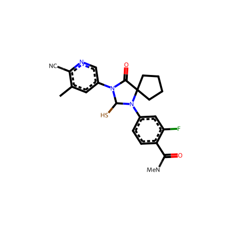 CNC(=O)c1ccc(N2C(S)N(c3cnc(C#N)c(C)c3)C(=O)C23CCCC3)cc1F